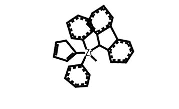 [CH3][Zr]([C]1=CC=CC1)([c]1ccccc1)([c]1ccccc1)[CH]1c2ccccc2-c2ccccc21